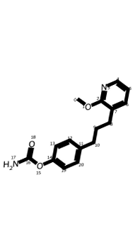 COc1ncccc1[CH]CCc1ccc(OC(N)=O)cc1